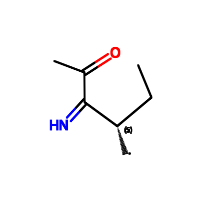 [CH2][C@@H](CC)C(=N)C(C)=O